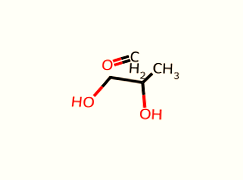 C=O.CC(O)CO